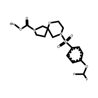 CC(C)(C)OC(=O)N1CCC2(C1)CN(S(=O)(=O)c1ccc(OC(F)F)cc1)CCO2